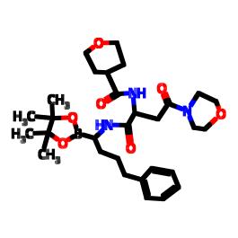 CC1(C)OB(C(CCCc2ccccc2)NC(=O)C(CC(=O)N2CCOCC2)NC(=O)C2CCOCC2)OC1(C)C